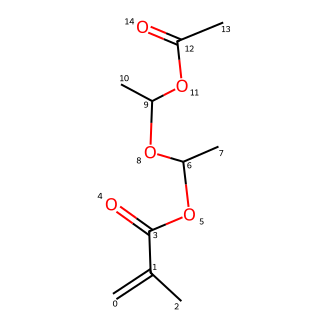 C=C(C)C(=O)OC(C)OC(C)OC(C)=O